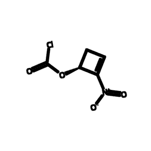 O=C(Cl)O[C@H]1CC=C1[N+](=O)[O-]